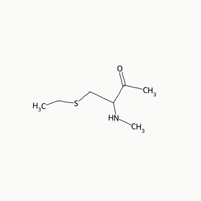 CCSCC(NC)C(C)=O